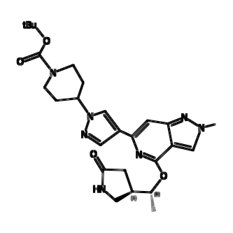 C[C@@H](Oc1nc(-c2cnn(C3CCN(C(=O)OC(C)(C)C)CC3)c2)cc2nn(C)cc12)[C@H]1CNC(=O)C1